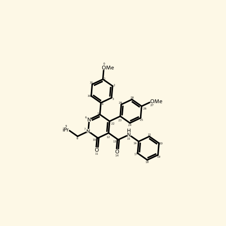 COc1ccc(-c2nn(CC(C)C)c(=O)c(C(=O)Nc3ccccc3)c2-c2ccc(OC)cc2)cc1